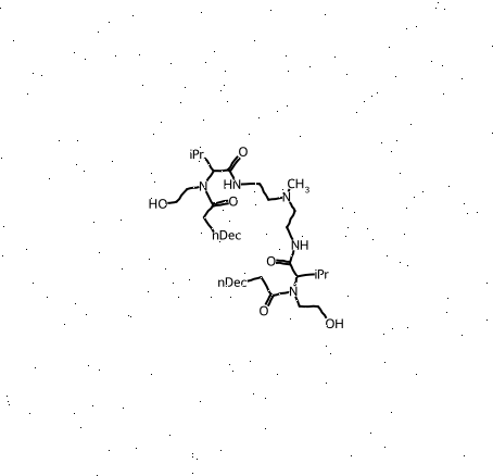 CCCCCCCCCCCC(=O)N(CCO)C(C(=O)NCCN(C)CCNC(=O)C(C(C)C)N(CCO)C(=O)CCCCCCCCCCC)C(C)C